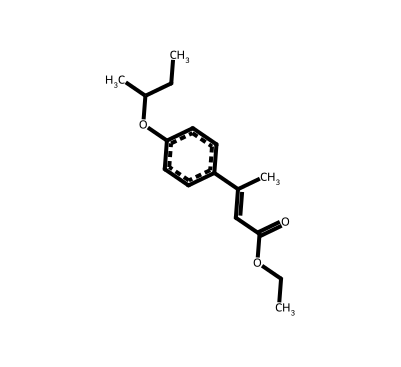 CCOC(=O)/C=C(\C)c1ccc(OC(C)CC)cc1